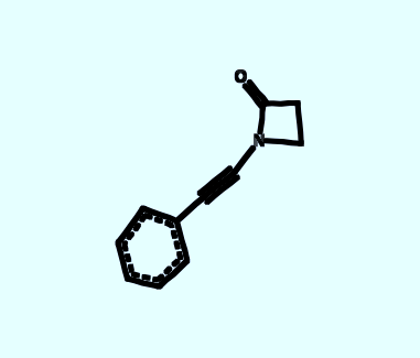 O=C1CCN1C#Cc1ccccc1